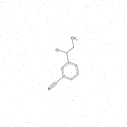 CCC(Cl)c1cccc(C#N)c1